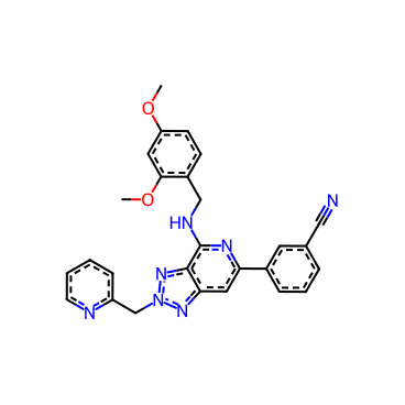 COc1ccc(CNc2nc(-c3cccc(C#N)c3)cc3nn(Cc4ccccn4)nc23)c(OC)c1